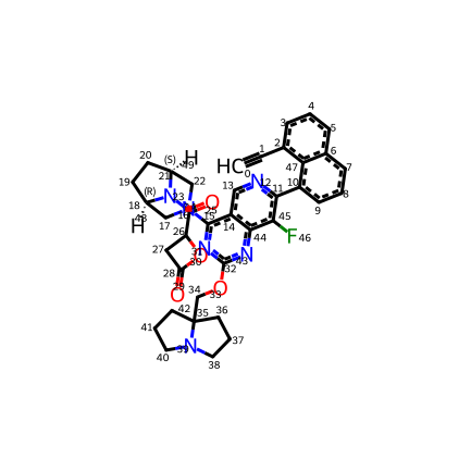 C#Cc1cccc2cccc(-c3ncc4c(N5C[C@H]6CC[C@@H](C5)N6C(=O)C5CC(=O)O5)nc(OCC56CCCN5CCC6)nc4c3F)c12